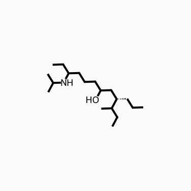 CCC[C@@H](CC(O)CCCC(CC)NC(C)C)C(C)CC